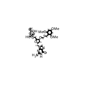 COc1cc(OC)c(CSCO[C@H]2C[C@H](Cn3cnc4c(=O)[nH]c(N)nc43)OC2COP(=O)(O)O[PH](=O)O)c(OC)c1